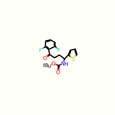 CC(C)(C)OC(=O)NC(CCC(=O)c1c(F)cccc1F)c1cccs1